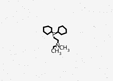 CCN(C)CCP(C1CCCCC1)C1CCCCC1